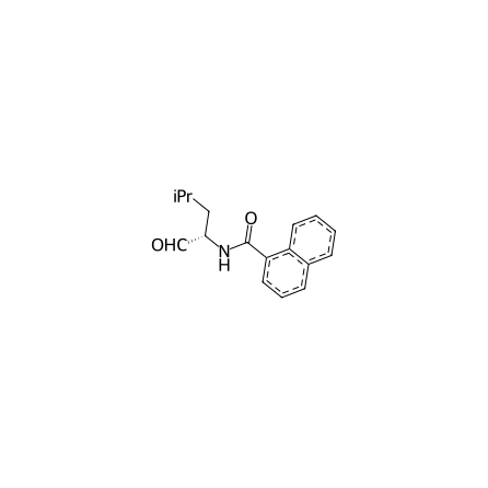 CC(C)C[C@@H](C=O)NC(=O)c1cccc2ccccc12